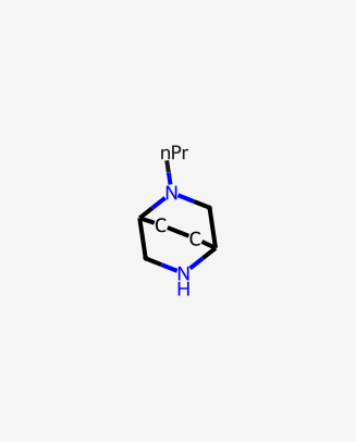 CCCN1CC2CCC1CN2